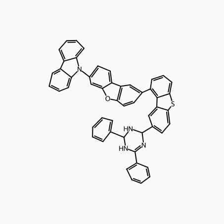 c1ccc(C2=NC(c3ccc4sc5cccc(-c6ccc7oc8cc(-n9c%10ccccc%10c%10ccccc%109)ccc8c7c6)c5c4c3)NC(c3ccccc3)N2)cc1